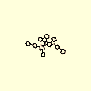 c1ccc(-c2ccc(-c3nc(-c4ccccc4)nc(-n4c5ccc6c(c7ccccc7n6-c6ccc(-c7ccccc7)cc6)c5c5c6ccccc6c6ccccc6c54)n3)cc2)cc1